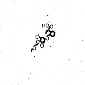 C/C=C(/C(=O)O)c1ccccc1COc1cc(Cl)c(OCCOCC)c(Cl)c1